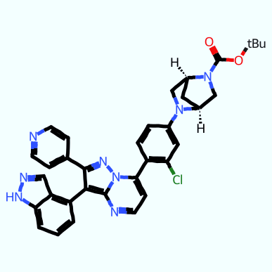 CC(C)(C)OC(=O)N1C[C@@H]2C[C@H]1CN2c1ccc(-c2ccnc3c(-c4cccc5[nH]ncc45)c(-c4ccncc4)nn23)c(Cl)c1